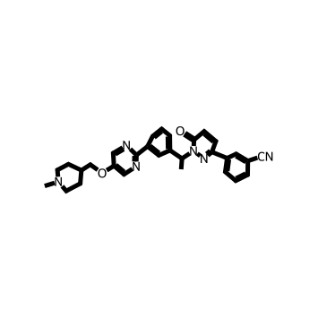 CC(c1cccc(-c2ncc(OCC3CCN(C)CC3)cn2)c1)n1nc(-c2cccc(C#N)c2)ccc1=O